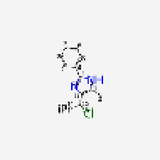 Cc1[nH]c(-c2ccccc2)nc1C(Cl)C(C)C